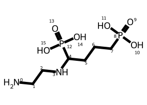 NCCNC(CCCP(=O)(O)O)P(=O)(O)O